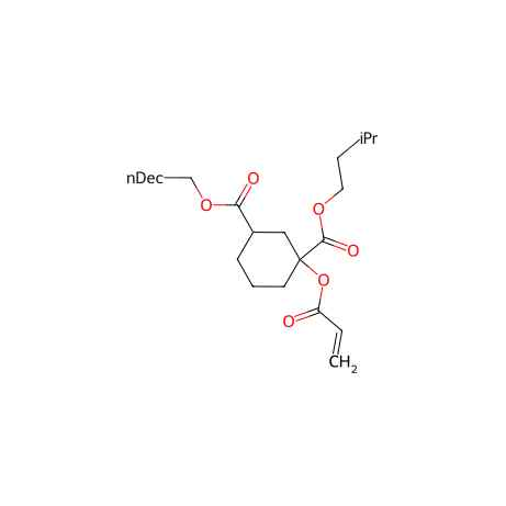 C=CC(=O)OC1(C(=O)OCCC(C)C)CCCC(C(=O)OCCCCCCCCCCC)C1